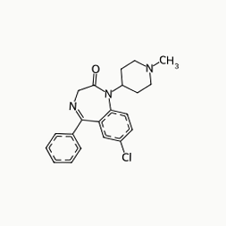 CN1CCC(N2C(=O)CN=C(c3ccccc3)c3cc(Cl)ccc32)CC1